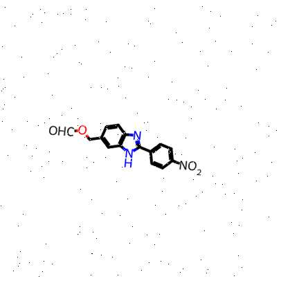 O=COCc1ccc2nc(-c3ccc([N+](=O)[O-])cc3)[nH]c2c1